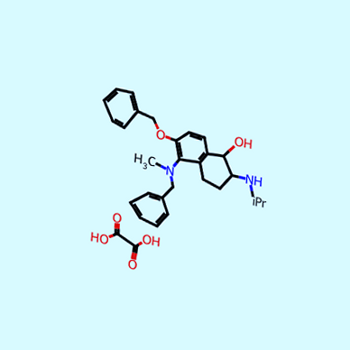 CC(C)NC1CCc2c(ccc(OCc3ccccc3)c2N(C)Cc2ccccc2)C1O.O=C(O)C(=O)O